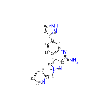 Nc1nc2cc(-c3cc[nH]n3)ccc2c2cn(Cc3ccccn3)nc12